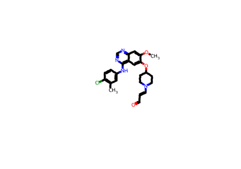 COc1cc2ncnc(Nc3ccc(Cl)c(C)c3)c2cc1OC1CCN(C=CC=O)CC1